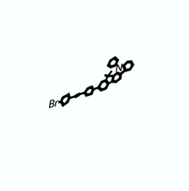 CC1(C)c2cc(-c3ccc(C#Cc4ccc(Br)cc4)cc3)ccc2-c2ccc3c4ccccc4n(-c4ccccc4)c3c21